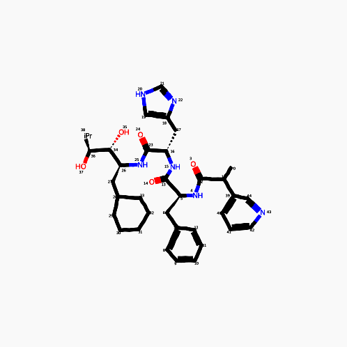 CC(C(=O)N[C@@H](Cc1ccccc1)C(=O)N[C@@H](Cc1c[nH]cn1)C(=O)N[C@@H](CC1CCCCC1)[C@@H](O)[C@@H](O)C(C)C)c1cccnc1